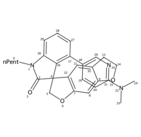 CCCCCN1C(=O)C2(COc3cc4c(cc32)CCO4)c2c(-c3ccc(N(C)C)nc3)cccc21